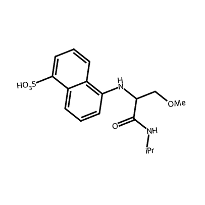 COCC(Nc1cccc2c(S(=O)(=O)O)cccc12)C(=O)NC(C)C